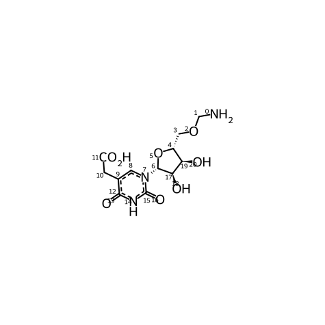 NCOC[C@H]1O[C@@H](n2cc(CC(=O)O)c(=O)[nH]c2=O)[C@H](O)[C@@H]1O